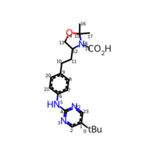 CC(C)(C)c1cnc(Nc2ccc(CCC3COC(C)(C)N3C(=O)O)cc2)nc1